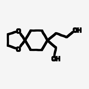 OCCC1(CO)CCC2(CC1)OCCO2